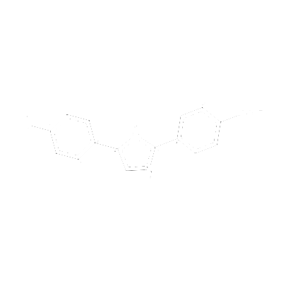 CCOC(=O)c1ccc(-c2ncc(-c3ccc(C)cc3)o2)cc1